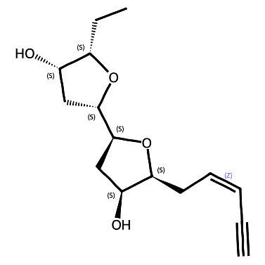 C#C/C=C\C[C@@H]1O[C@H]([C@@H]2C[C@H](O)[C@H](CC)O2)C[C@@H]1O